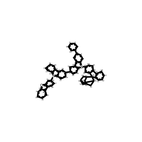 c1ccc(-c2ccc3c(c2)c2cc(-c4ccc5c(c4)c4ccccc4n5-c4ccc5c(c4)oc4ccccc45)ccc2n3-c2ccc3c(c2)C2(c4ccccc4-3)C3CC4CC(C3)CC2C4)cc1